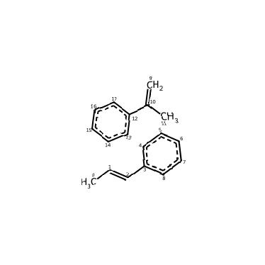 C/C=C/c1ccccc1.C=C(C)c1ccccc1